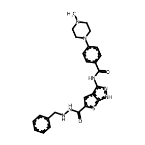 CN1CCN(c2ccc(C(=O)Nc3n[nH]c4sc(C(=O)NNCc5ccccc5)cc34)cc2)CC1